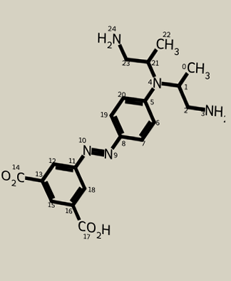 CC(CN)N(c1ccc(N=Nc2cc(C(=O)O)cc(C(=O)O)c2)cc1)C(C)CN